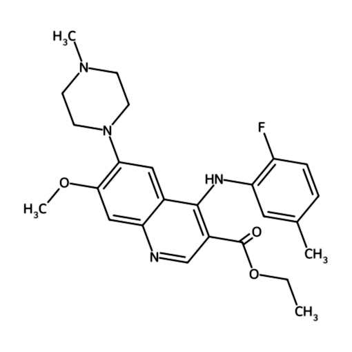 CCOC(=O)c1cnc2cc(OC)c(N3CCN(C)CC3)cc2c1Nc1cc(C)ccc1F